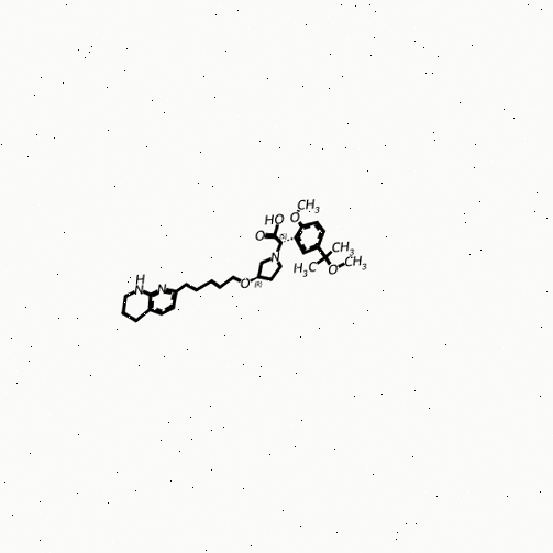 COc1ccc(C(C)(C)OC)cc1[C@@H](C(=O)O)N1CC[C@@H](OCCCCCc2ccc3c(n2)NCCC3)C1